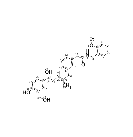 CCOc1ccccc1CNC(=O)Cc1cccc(C[C@@H](C)NC[C@@H](O)c2ccc(O)c(CO)c2)c1